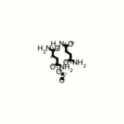 NC(=O)CCC(N)=O.NC(=O)CCC(N)=O.O=S=O